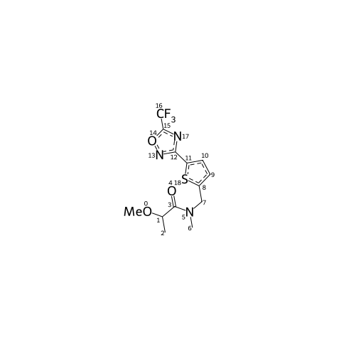 COC(C)C(=O)N(C)Cc1ccc(-c2noc(C(F)(F)F)n2)s1